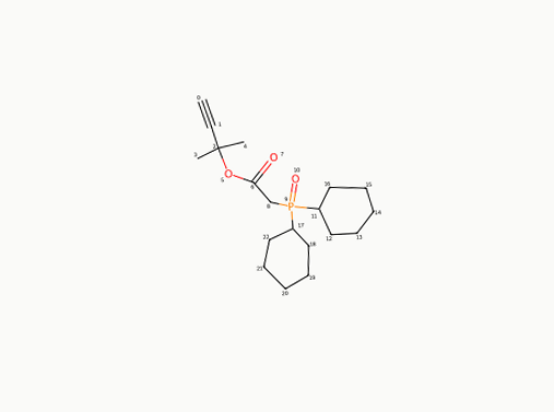 C#CC(C)(C)OC(=O)CP(=O)(C1CCCCC1)C1CCCCC1